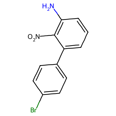 Nc1cccc(-c2ccc(Br)cc2)c1[N+](=O)[O-]